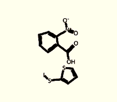 ISc1cccs1.O=C(O)c1ccccc1[N+](=O)[O-]